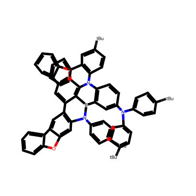 CC(C)(C)c1ccc(N2B3c4cc(N(c5ccc(C(C)(C)C)cc5)c5ccc(C(C)(C)C)cc5)ccc4N(c4ccc(C(C)(C)C)cc4-c4ccccc4)c4c3c(cc3c4oc4ccccc43)-c3cc4c(cc32)oc2ccccc24)cc1